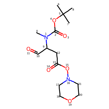 CN(C(=O)OC(C)(C)C)C(C=O)CC(=O)ON1CCOCC1